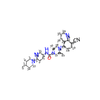 CC1CCN(c2ccc(NC(=O)N3C[C@H](C)N(c4ccc(C#N)c5ncccc45)C[C@H]3C)cn2)CC1